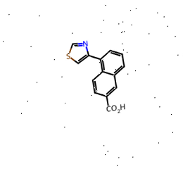 O=C(O)c1ccc2c(-c3cscn3)cccc2c1